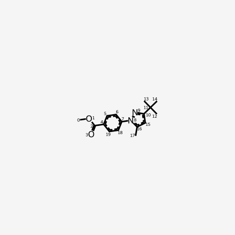 COC(=O)c1ccc(-n2nc(C(C)(C)C)cc2C)cc1